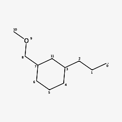 [CH2]CCC1CCCC(COC)C1